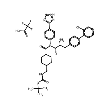 CC(C)(C)OC(=O)NC[C@H]1CC[C@H](C(=O)N(C(=O)[C@@H](N)Cc2ccc(-c3ccncc3Cl)cc2)c2ccc(-c3nn[nH]n3)cc2)CC1.O=C(O)C(F)(F)F